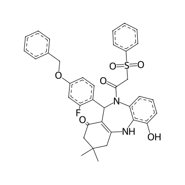 CC1(C)CC(=O)C2=C(C1)Nc1c(O)cccc1N(C(=O)CS(=O)(=O)c1ccccc1)C2c1ccc(OCc2ccccc2)cc1F